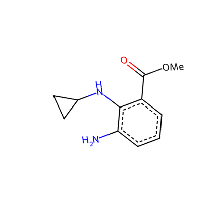 COC(=O)c1cccc(N)c1NC1CC1